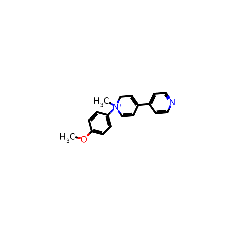 COc1ccc([N+]2(C)C=CC(c3ccncc3)=CC2)cc1